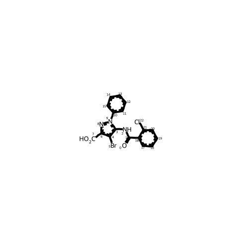 O=C(Nc1c(Br)c(C(=O)O)nn1-c1ccccc1)c1ccccc1Cl